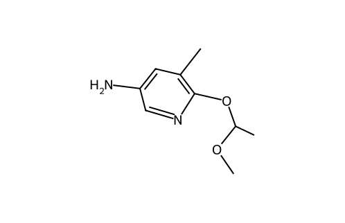 COC(C)Oc1ncc(N)cc1C